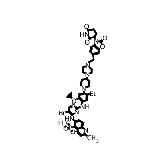 CCc1cc(Nc2ncc(Br)c(Nc3ccc4nc(C)ccc4c3P(C)(C)=O)n2)c(OC2CC2)cc1N1CCC(N2CCN(CCc3ccc4c(c3)oc(=O)n4C3CCC(=O)NC3=O)CC2)CC1